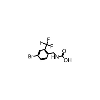 O=C(O)NCc1ccc(Br)cc1C(F)(F)F